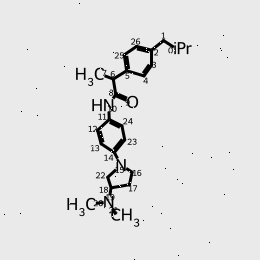 CC(C)Cc1ccc(C(C)C(=O)Nc2ccc(N3CCC(N(C)C)C3)cc2)cc1